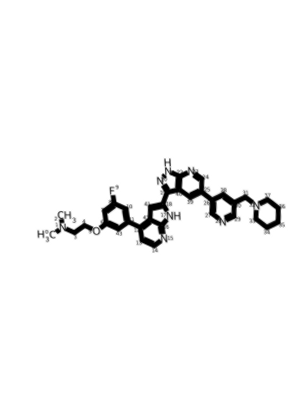 CN(C)CCOc1cc(F)cc(-c2ccnc3[nH]c(-c4n[nH]c5ncc(-c6cncc(CN7CCCCC7)c6)cc45)cc23)c1